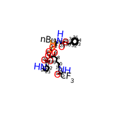 CCCCC(CO[PH](=O)OC(CCCCNC(=O)C(F)(F)F)C(=O)OC(=O)[C@@H]1CCCN1)NC(=O)OCc1ccccc1